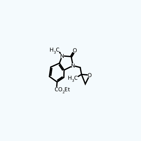 CCOC(=O)c1ccc2c(c1)n(CC1(C)CO1)c(=O)n2C